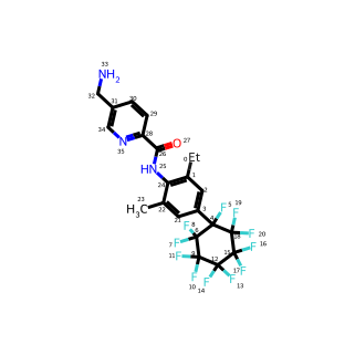 CCc1cc(C2(F)C(F)(F)C(F)(F)C(F)(F)C(F)(F)C2(F)F)cc(C)c1NC(=O)c1ccc(CN)cn1